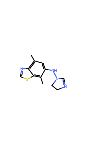 Cc1cc(NN2C=NCC2)c(C)c2scnc12